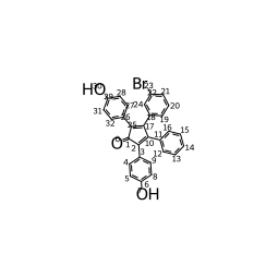 O=C1C(c2ccc(O)cc2)=C(c2ccccc2)C(c2cccc(Br)c2)=C1c1ccc(O)cc1